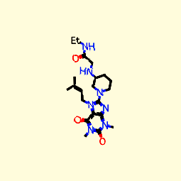 CCNC(=O)CNC1CCCN(c2nc3c(c(=O)n(C)c(=O)n3C)n2CC=C(C)C)C1